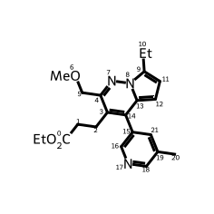 CCOC(=O)CCc1c(COC)nn2c(CC)ccc2c1-c1cncc(C)c1